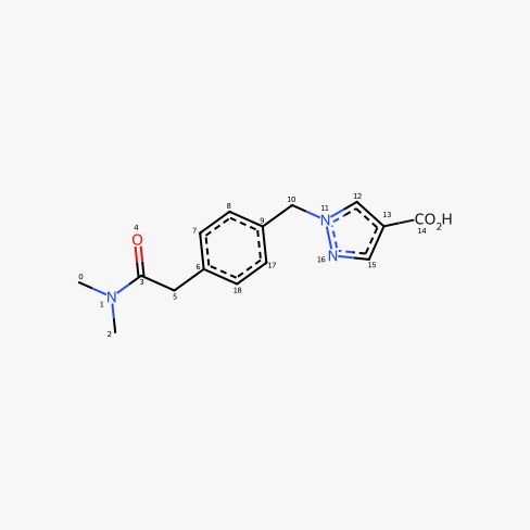 CN(C)C(=O)Cc1ccc(Cn2cc(C(=O)O)cn2)cc1